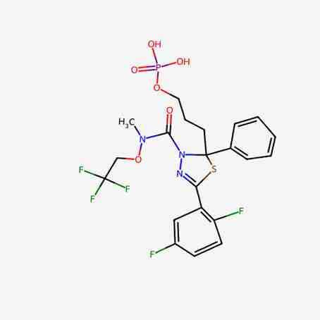 CN(OCC(F)(F)F)C(=O)N1N=C(c2cc(F)ccc2F)SC1(CCCOP(=O)(O)O)c1ccccc1